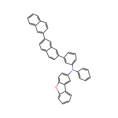 c1ccc(N(c2cccc(-c3ccc4ccc(-c5ccc6ccccc6c5)cc4c3)c2)c2ccc3oc4ccccc4c3c2)cc1